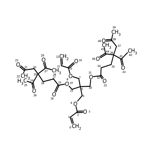 C=CC(=O)OCC(COC(=O)C=C)(COC(=O)CCC(CC(C)=O)(C(C)=O)C(C)=O)COC(=O)CCC(CC(C)=O)(C(C)=O)C(C)=O